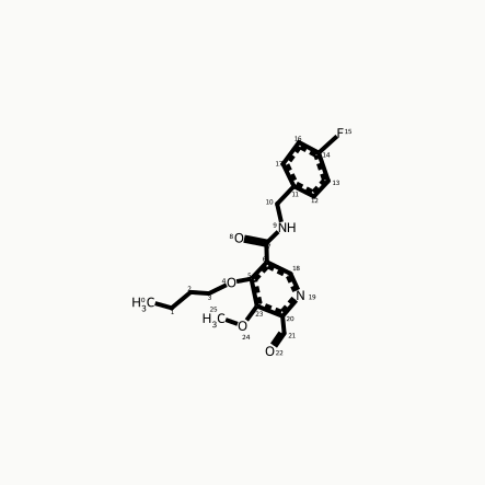 CCCCOc1c(C(=O)NCc2ccc(F)cc2)cnc(C=O)c1OC